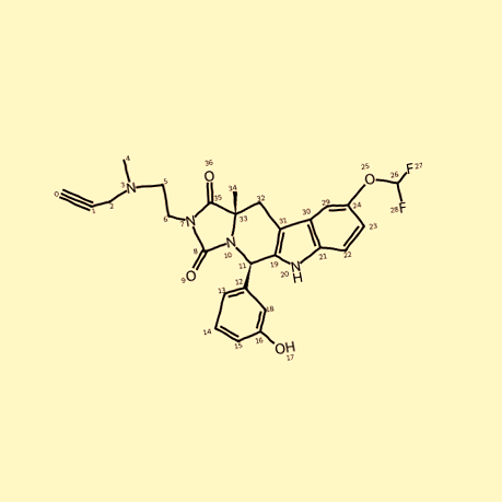 C#CCN(C)CCN1C(=O)N2[C@H](c3cccc(O)c3)c3[nH]c4ccc(OC(F)F)cc4c3C[C@@]2(C)C1=O